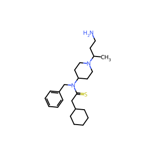 CC(CCN)N1CCC(N(Cc2ccccc2)C(=S)CC2CCCCC2)CC1